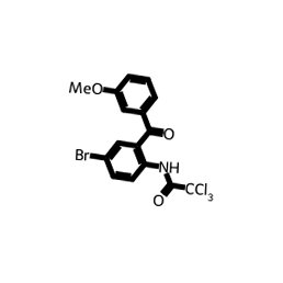 COc1cccc(C(=O)c2cc(Br)ccc2NC(=O)C(Cl)(Cl)Cl)c1